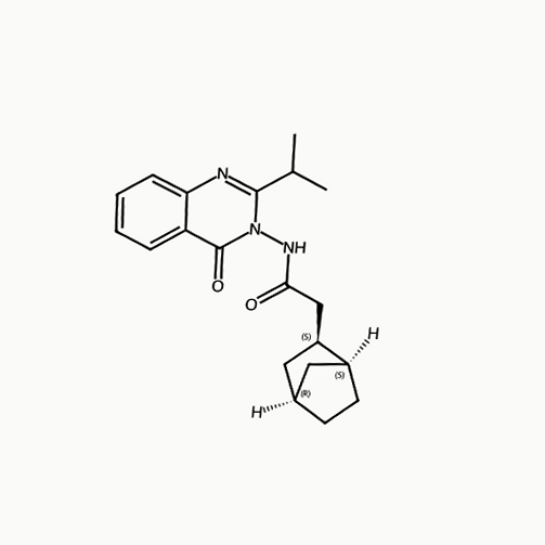 CC(C)c1nc2ccccc2c(=O)n1NC(=O)C[C@@H]1C[C@@H]2CC[C@H]1C2